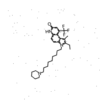 CCc1c(C)c2c3c(C(F)(F)F)cc(=O)[nH]c3ccc2n1CCCCCCCCCN1CCCCC1